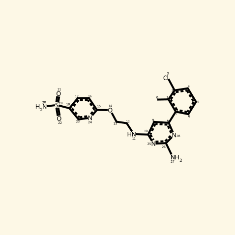 Cc1c(Cl)cccc1-c1cc(NCCOc2ccc(S(N)(=O)=O)cn2)nc(N)n1